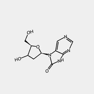 O=c1[nH]c2ncncc2n1[C@H]1CC(O)[C@@H](CO)O1